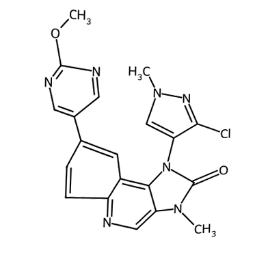 COc1ncc(-c2ccc3ncc4c(c3c2)n(-c2cn(C)nc2Cl)c(=O)n4C)cn1